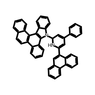 C1=C(c2ccccc2)C=C(c2cc3ccccc3c3ccccc23)NC1n1c2ccccc2c2c3c4ccccc4ccc3c3ccccc3c21